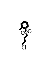 Cc1ccccc1S(=O)(=O)CCCCCl